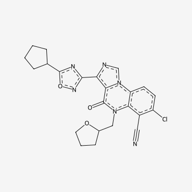 N#Cc1c(Cl)ccc2c1n(CC1CCCO1)c(=O)c1c(-c3noc(C4CCCC4)n3)ncn12